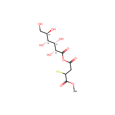 O=C(CC(S)C(=O)[O][Au])OC(=O)[C@H](O)[C@@H](O)[C@H](O)[C@H](O)CO